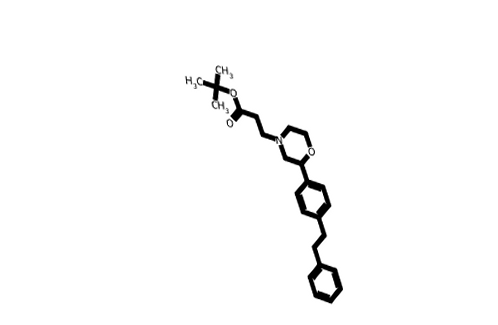 CC(C)(C)OC(=O)CCN1CCOC(c2ccc(CCc3ccccc3)cc2)C1